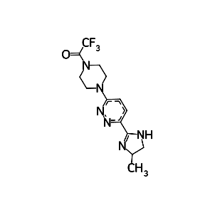 CC1CNC(c2ccc(N3CCN(C(=O)C(F)(F)F)CC3)nn2)=N1